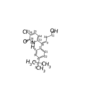 CC(C)(C)c1ccc(C(=CCCO)c2ccc(Cl)c(=O)[nH]2)cc1